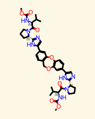 COC(=O)N[C@H](C(=O)N1CCC[C@H]1c1ncc(-c2ccc3c(c2)Oc2ccc(-c4cnc([C@@H]5CCCN5C(=O)[C@@H](NC(=O)OC)C(C)C)[nH]4)cc2OC3)[nH]1)C(C)C